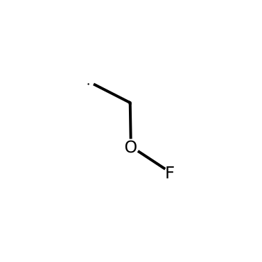 [CH2]COF